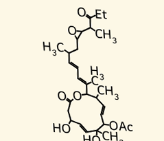 CCC(=O)C(C)C1OC1CC(C)/C=C/C=C(\C)C1OC(=O)CC(O)/C=C/C(C)(O)C(OC(C)=O)/C=C/C1C